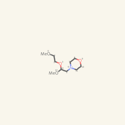 COCCOC(CN1CCOCC1)OC